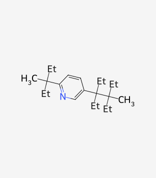 CCC(C)(CC)c1ccc(C(CC)(CC)C(C)(CC)CC)cn1